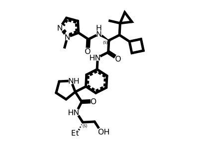 CC[C@@H](CO)NC(=O)C1(c2cccc(NC(=O)[C@@H](NC(=O)c3ccnn3C)C(C3CCC3)C3(C)CC3)c2)CCCN1